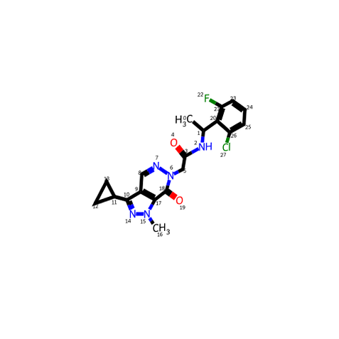 CC(NC(=O)Cn1ncc2c(C3CC3)nn(C)c2c1=O)c1c(F)cccc1Cl